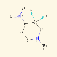 CC(C)N1CCC(N(C)C)C(F)(F)C1